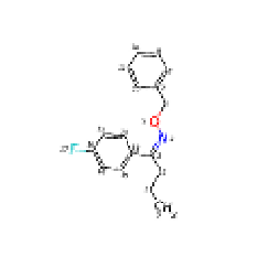 CCCC(=NOCc1ccccc1)c1ccc(F)cc1